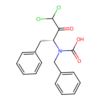 O=C(C(Cl)Cl)[C@@H](Cc1ccccc1)N(Cc1ccccc1)C(=O)O